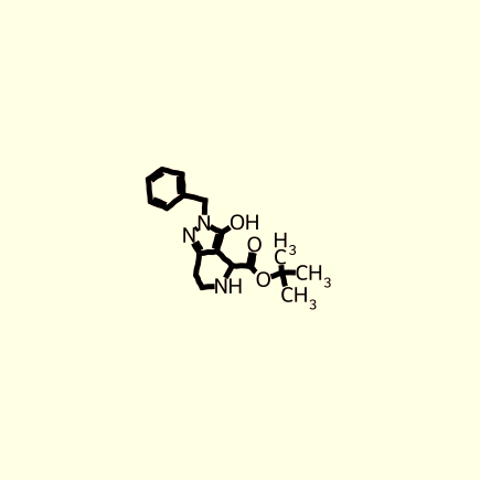 CC(C)(C)OC(=O)C1NCCc2nn(Cc3ccccc3)c(O)c21